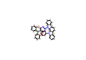 c1ccc(-n2c3ccccc3c3ccc4c5ccccc5n(-c5nc6c7c(n5)Oc5ccccc5B7c5ccccc5O6)c4c32)cc1